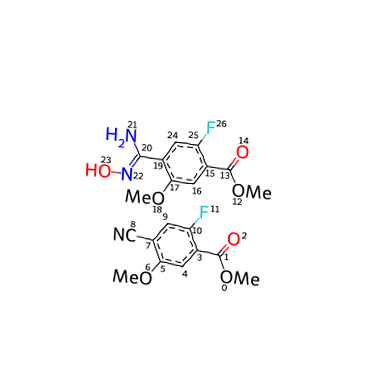 COC(=O)c1cc(OC)c(C#N)cc1F.COC(=O)c1cc(OC)c(C(N)=NO)cc1F